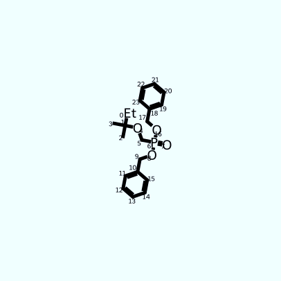 CCC(C)(C)OCP(=O)(OCc1ccccc1)OCc1ccccc1